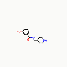 O=C(NCC1CCNCC1)c1cccc(O)c1